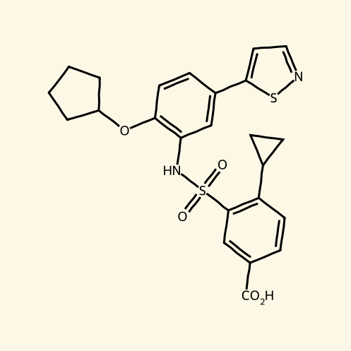 O=C(O)c1ccc(C2CC2)c(S(=O)(=O)Nc2cc(-c3ccns3)ccc2OC2CCCC2)c1